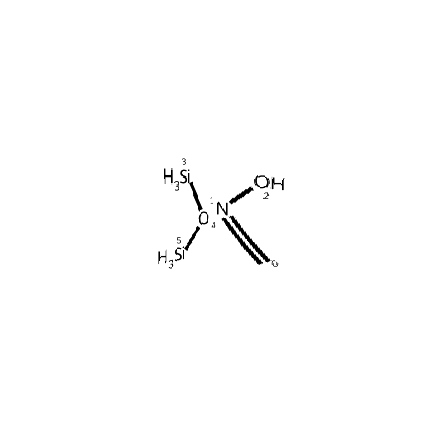 C=NO.[SiH3]O[SiH3]